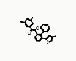 Cc1cc(C)cc(C(=O)C(=O)c2cccc(-c3cc(C)cs3)c2-c2ccccc2)c1